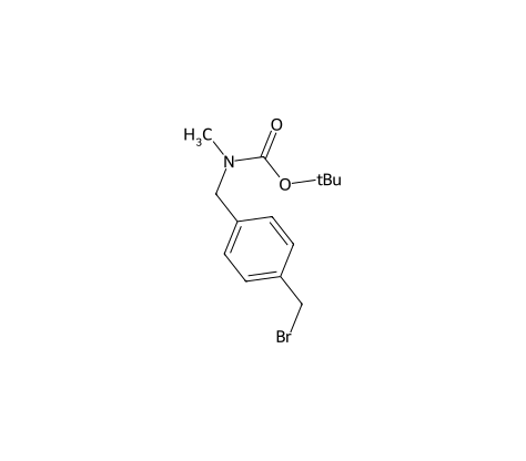 CN(Cc1ccc(CBr)cc1)C(=O)OC(C)(C)C